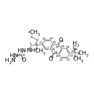 CCCC(C)(CNNC(=O)NN)c1ccc2c(c1)C(=O)c1ccc(C(C)(C)C)cc1C2=O